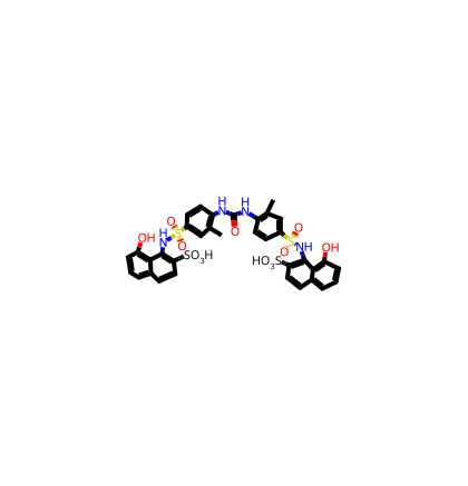 Cc1cc(S(=O)(=O)Nc2c(S(=O)(=O)O)ccc3cccc(O)c23)ccc1NC(=O)Nc1ccc(S(=O)(=O)Nc2c(S(=O)(=O)O)ccc3cccc(O)c23)cc1C